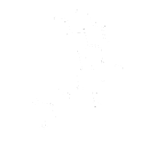 CCN(C)C=Nc1cc(C)c(N(C)c2ccc(F)c(OC(F)F)c2)cc1C